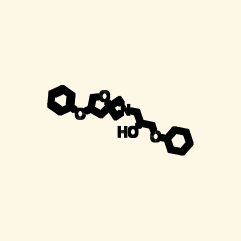 OC(COC1CCCCC1)CN1CC2(CC(Oc3ccccc3)CO2)C1